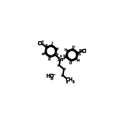 CCC[CH2][Sn+]([c]1ccc(Cl)cc1)[c]1ccc(Cl)cc1.[OH-]